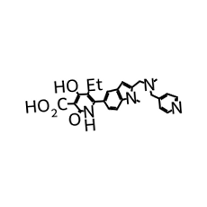 CCc1c(-c2ccc3c(c2)cc(CN(C)Cc2ccncc2)n3C)[nH]c(=O)c(C(=O)O)c1O